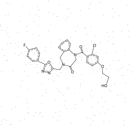 O=C1CN(C(=O)c2ccc(OCCO)cc2Cl)c2ccccc2CN1Cc1nnc(-c2ccc(F)cc2)o1